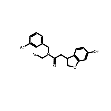 CC(=O)CN(Cc1cccc(C(C)=O)c1)C(=O)CC1COc2cc(O)ccc21